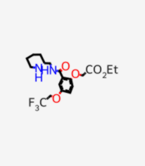 CCOC(=O)COc1ccc(OCC(F)(F)F)cc1C(=O)NCC1CCCCN1